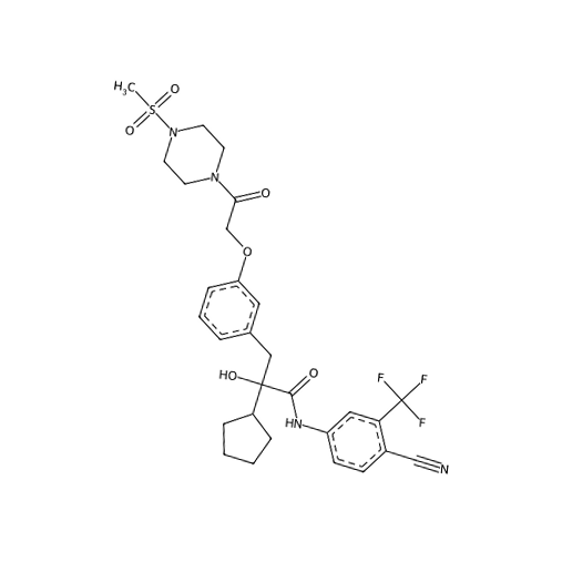 CS(=O)(=O)N1CCN(C(=O)COc2cccc(CC(O)(C(=O)Nc3ccc(C#N)c(C(F)(F)F)c3)C3CCCC3)c2)CC1